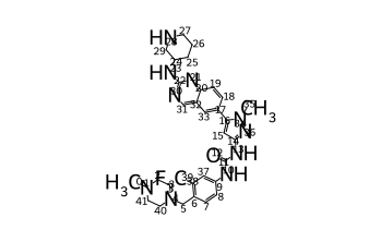 CN1CCN(Cc2ccc(NC(=O)Nc3cc(-c4ccc5nc(NC6CCCNC6)ncc5c4)n(C)n3)cc2C(F)(F)F)CC1